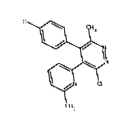 Cc1cccc(-c2c(Cl)nnc(C)c2-c2ccc(Cl)cc2)n1